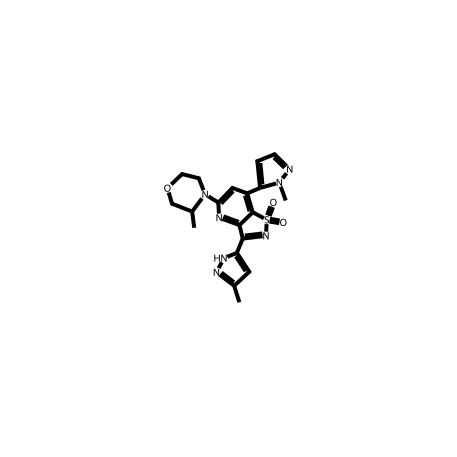 Cc1cc(C2=NS(=O)(=O)c3c(-c4ccnn4C)cc(N4CCOCC4C)nc32)[nH]n1